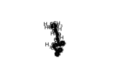 CC(C(=O)O)N(C)C(=O)CNC(=O)CNC(=O)CNC(=O)CCn1c(CN(C)N(C)C(=O)OCC2c3ccccc3-c3ccccc32)cc2ccccc21